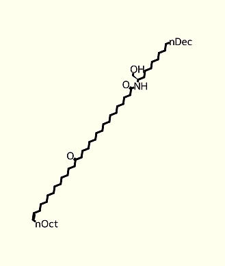 CCCCCCCC/C=C\CCCCCCCCCCCC(=O)CCCCCCCCCCCCCCCC(=O)N[C@@H](CO)CCCCCCCCCCCCCCCCCC